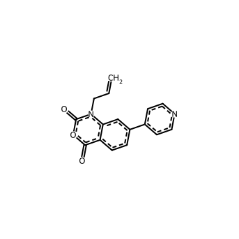 C=CCn1c(=O)oc(=O)c2ccc(-c3ccncc3)cc21